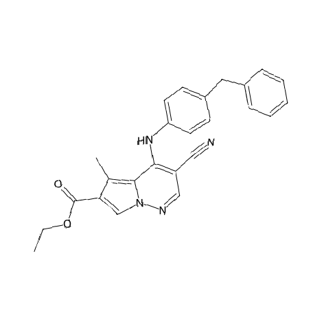 CCOC(=O)c1cn2ncc(C#N)c(Nc3ccc(Cc4ccccc4)cc3)c2c1C